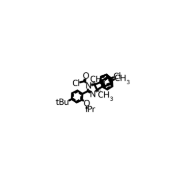 Cc1ccc([C@]2(C)N=C(c3ccc(C(C)(C)C)cc3OC(C)C)N(C(=O)Cl)[C@]2(C)c2ccc(Cl)cc2)cc1